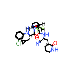 N#C[C@H](C[C@@H]1CCCNC1=O)NC(=O)[C@H]1[C@H]2CC[C@H](CC2(F)F)N1C(=O)[C@H](CC1CC1)Nc1cccc(Cl)c1